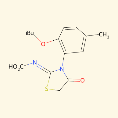 CCC(C)Oc1ccc(C)cc1N1C(=O)CSC1=NC(=O)O